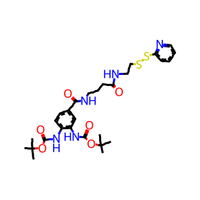 CC(C)(C)OC(=O)Nc1ccc(C(=O)NCCCC(=O)NCCSSc2ccccn2)cc1NC(=O)OC(C)(C)C